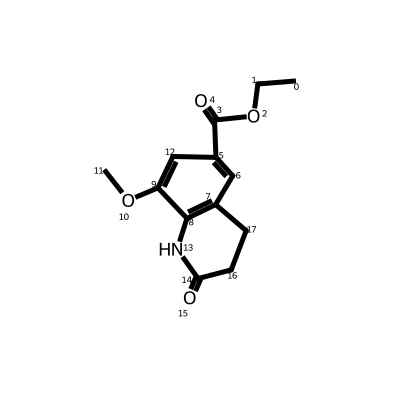 CCOC(=O)c1cc2c(c(OC)c1)NC(=O)CC2